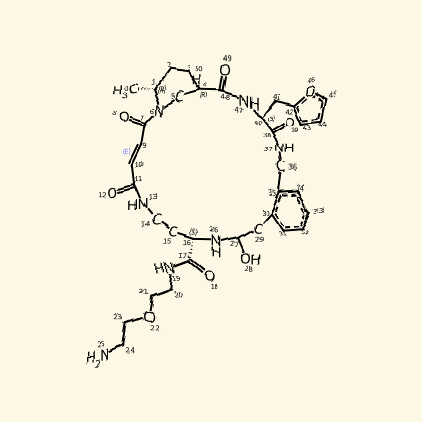 C[C@@H]1CC[C@@H]2CN1C(=O)/C=C/C(=O)NCC[C@@H](C(=O)NCCOCCN)NC(O)Cc1ccccc1CNC(=O)[C@H](Cc1ccco1)NC2=O